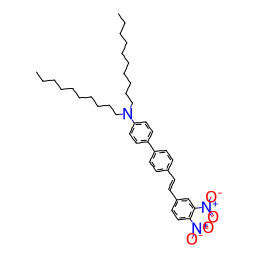 CCCCCCCCCCN(CCCCCCCCCC)c1ccc(-c2ccc(/C=C/c3ccc([N+](=O)[O-])c([N+](=O)[O-])c3)cc2)cc1